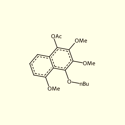 CCCCOc1c(OC)c(OC)c(OC(C)=O)c2cccc(OC)c12